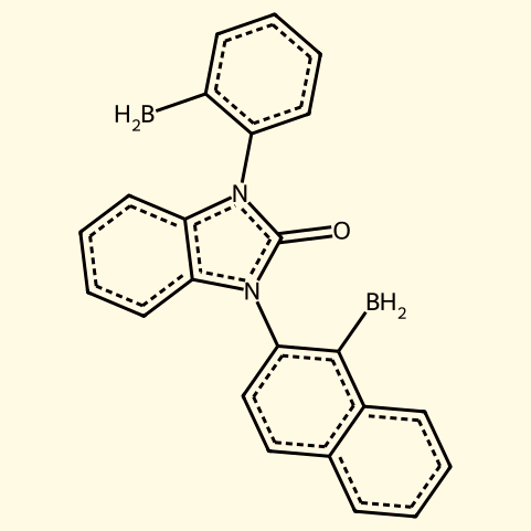 Bc1ccccc1-n1c(=O)n(-c2ccc3ccccc3c2B)c2ccccc21